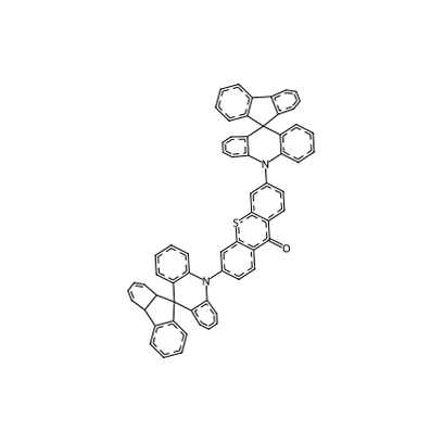 O=c1c2ccc(N3c4ccccc4C4(c5ccccc5-c5ccccc54)c4ccccc43)cc2sc2cc(N3c4ccccc4C4(c5ccccc5C5C=CC=CC54)c4ccccc43)ccc12